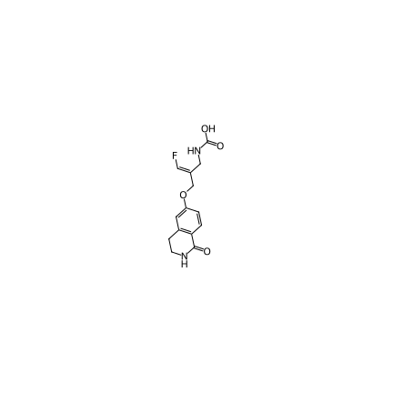 O=C(O)NCC(=CF)COc1ccc2c(c1)CCNC2=O